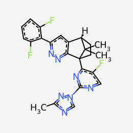 Cc1ncn(-c2ncc(F)c(C34CC[C@@H](c5cc(-c6c(F)cccc6F)nnc53)C4(C)C)n2)n1